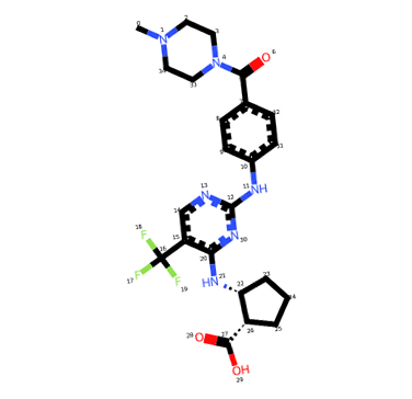 CN1CCN(C(=O)c2ccc(Nc3ncc(C(F)(F)F)c(N[C@@H]4CCC[C@@H]4C(=O)O)n3)cc2)CC1